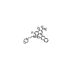 CN(C)C(=O)c1cn2c3c(c(NCCCN4CCOCC4)c(F)cc3c1=O)Oc1cc3ccccc3cc1-2